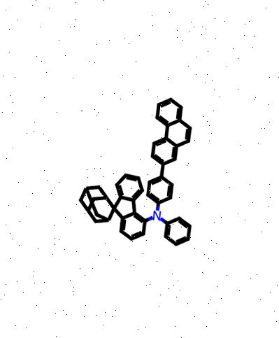 c1ccc(N(c2ccc(-c3ccc4c(ccc5ccccc54)c3)cc2)c2cccc3c2-c2ccccc2C32C3CC4CC(C3)CC2C4)cc1